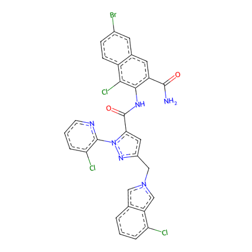 NC(=O)c1cc2cc(Br)ccc2c(Cl)c1NC(=O)c1cc(Cn2cc3cccc(Cl)c3c2)nn1-c1ncccc1Cl